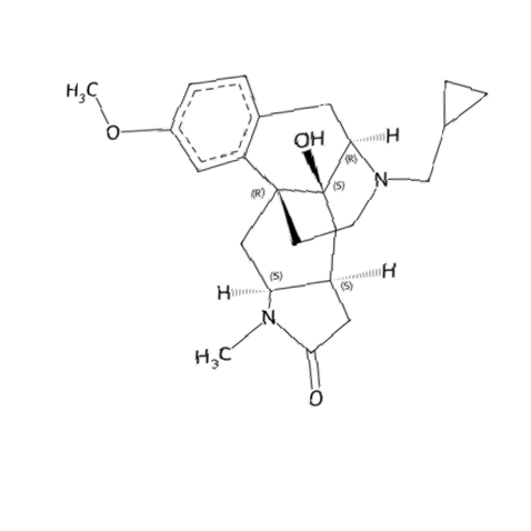 COc1ccc2c(c1)[C@]13CCN(CC4CC4)[C@H](C2)[C@]1(O)C[C@H]1CC(=O)N(C)[C@H]1C3